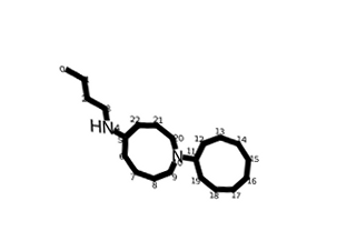 CCCCNC1CCCCN(C2CCCCCCCC2)CCC1